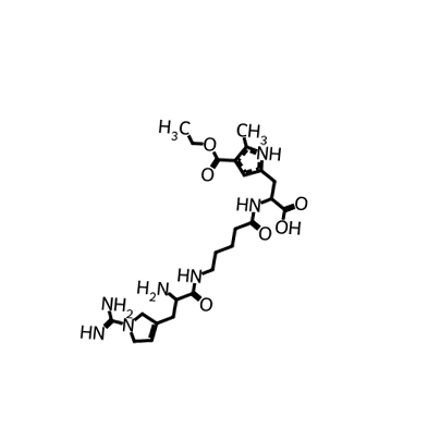 CCOC(=O)c1cc(CC(NC(=O)CCCCNC(=O)C(N)CC2=CCN(C(=N)N)C2)C(=O)O)[nH]c1C